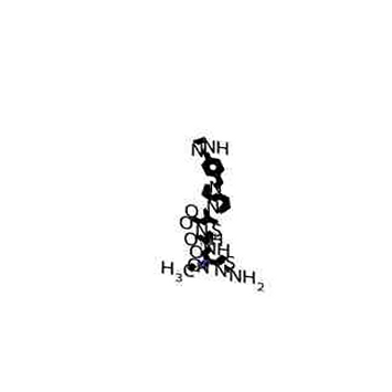 CO/N=C(\C(=O)N[C@@H]1C(=O)N2C(C(=O)[O-])=C(C[n+]3cccc4c3ccn4Cc3ccc(C4=NCCN4)cc3)CS[C@H]12)c1csc(N)n1